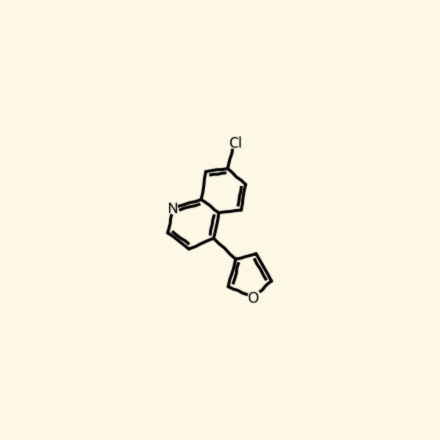 Clc1ccc2c(-c3ccoc3)ccnc2c1